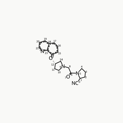 N#CC1CCCN1C(=O)CN1CC[C@H](Oc2cccc3cccnc23)C1